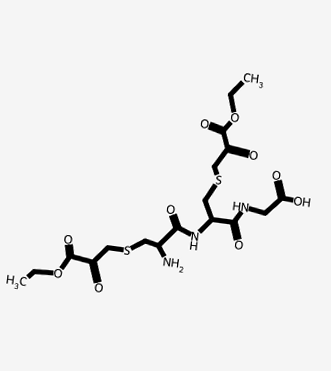 CCOC(=O)C(=O)CSCC(N)C(=O)NC(CSCC(=O)C(=O)OCC)C(=O)NCC(=O)O